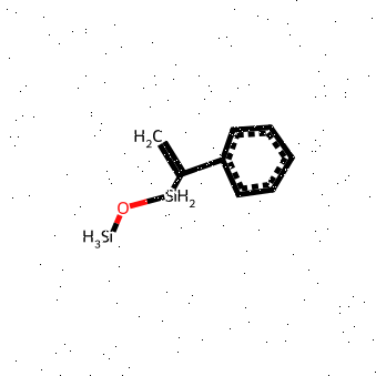 C=C([SiH2]O[SiH3])c1ccccc1